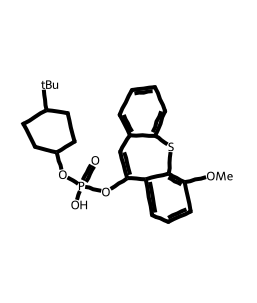 COc1cccc2c1Sc1ccccc1C=C2OP(=O)(O)OC1CCC(C(C)(C)C)CC1